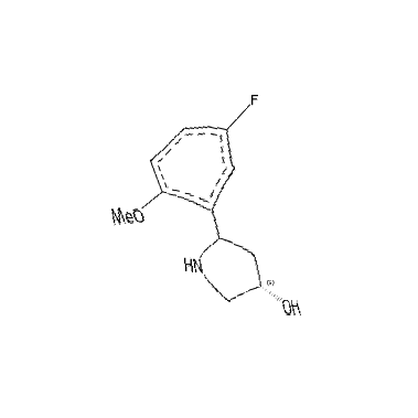 COc1ccc(F)cc1C1C[C@H](O)CN1